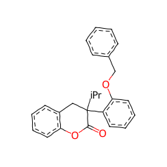 CC(C)C1(c2ccccc2OCc2ccccc2)Cc2ccccc2OC1=O